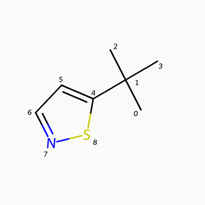 CC(C)(C)c1ccns1